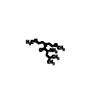 COCCN(CCOC)C(=O)[C@@H](N)CC(C)C